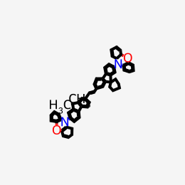 CC1(C)c2cc(/C=C/c3ccc4c(c3)C3(CCCCC3)c3cc(N5c6ccccc6OC6C=CC=CC65)ccc3-4)ccc2-c2ccc(N3C4=C(C=CCC4)Oc4ccccc43)cc21